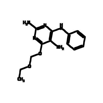 CCOCOc1nc(N)nc(Nc2ccccc2)c1N